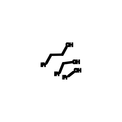 CC(C)CCO.CC(C)CO.CC(C)O